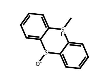 C[SH]1c2ccccc2[S+]([O-])c2ccccc21